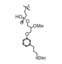 CCCCCCCCCCCCCc1cccc(OCC(COP(=O)(O)CC[N+](C)(C)C)OC)c1